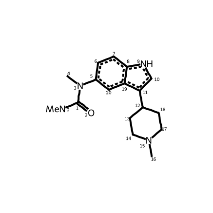 CNC(=O)N(C)c1ccc2[nH]cc(C3CCN(C)CC3)c2c1